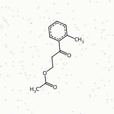 CC(=O)OCCC(=O)c1ccccc1C